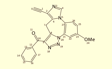 C#Cc1ncn2c1Cc1c(C(=O)c3ccccc3)nnn1-c1cc(OC)ccc1-2